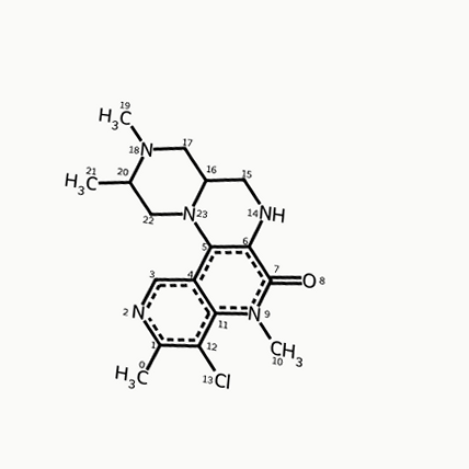 Cc1ncc2c3c(c(=O)n(C)c2c1Cl)NCC1CN(C)C(C)CN31